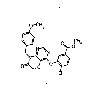 COC(=O)c1ccc(Cl)c(Oc2ncnc3c2OCC(=O)N3Cc2ccc(OC)cc2)c1